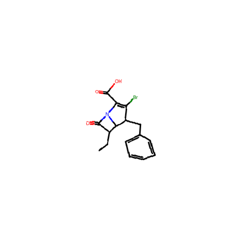 CCC1C(=O)N2C(C(=O)O)=C(Br)C(Cc3ccccc3)C12